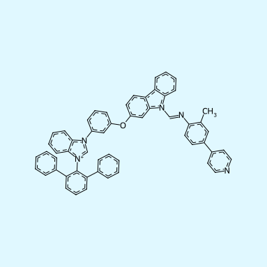 Cc1cc(-c2ccncc2)ccc1/N=C/n1c2ccccc2c2ccc(Oc3cccc(-n4c[n+](-c5c(-c6ccccc6)cccc5-c5ccccc5)c5ccccc54)c3)cc21